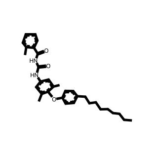 CCCCCCCCCc1ccc(Oc2c(C)cc(NC(=O)NC(=O)c3ccccc3C)cc2C)cc1